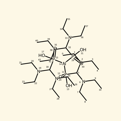 CCN(CC)C(N(CC)CC)[P](=O)(O)[Al]([P](=O)(O)C(N(CC)CC)N(CC)CC)[P](=O)(O)C(N(CC)CC)N(CC)CC